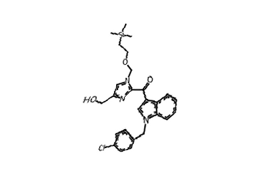 C[Si](C)(C)CCOCn1cc(CO)nc1C(=O)c1cn(Cc2ccc(Cl)cc2)c2ccccc12